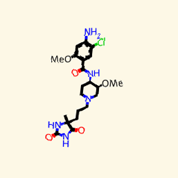 COc1cc(N)c(Cl)cc1C(=O)N[C@@H]1CCN(CCCC2(C)NC(=O)NC2=O)C[C@@H]1OC